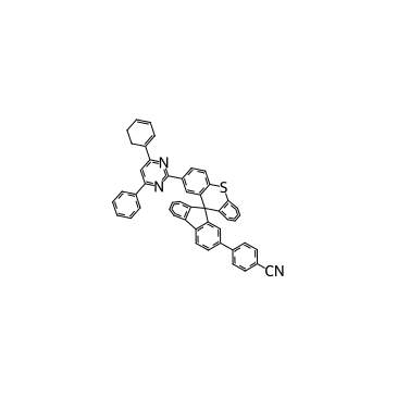 N#Cc1ccc(-c2ccc3c(c2)C2(c4ccccc4Sc4ccc(-c5nc(C6=CC=CCC6)cc(-c6ccccc6)n5)cc42)c2ccccc2-3)cc1